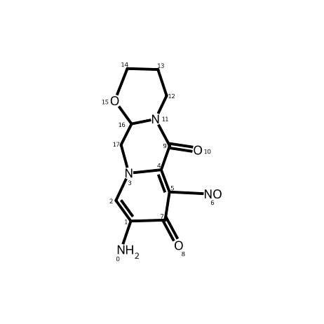 Nc1cn2c(c(N=O)c1=O)C(=O)N1CCCOC1C2